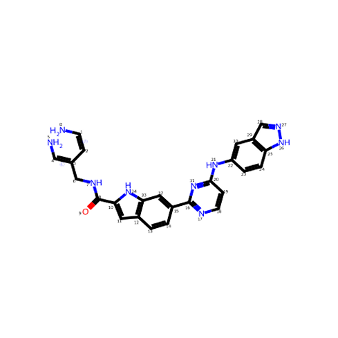 N/C=C\C(=C/N)CNC(=O)c1cc2ccc(-c3nccc(Nc4ccc5[nH]ncc5c4)n3)cc2[nH]1